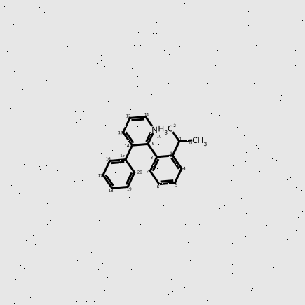 CC(C)c1ccccc1-c1ncccc1-c1ccccc1